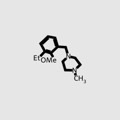 CCc1cccc(CN2CCN(C)CC2)c1OC